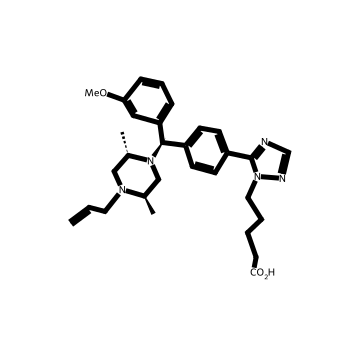 C=CCN1C[C@H](C)N([C@H](c2ccc(-c3ncnn3CCCCC(=O)O)cc2)c2cccc(OC)c2)C[C@H]1C